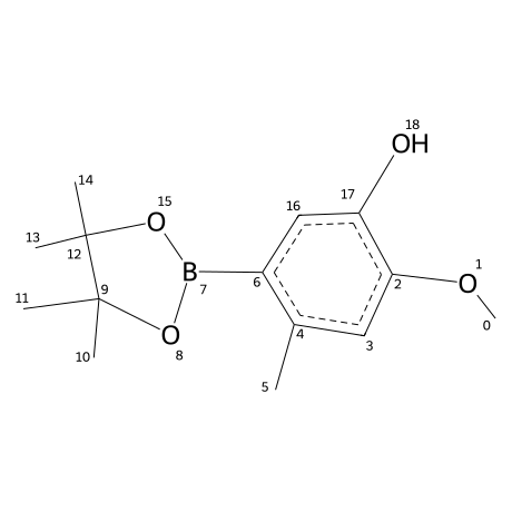 COc1cc(C)c(B2OC(C)(C)C(C)(C)O2)cc1O